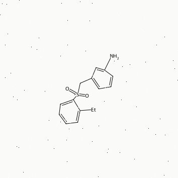 CCc1ccccc1S(=O)(=O)Cc1cccc(N)c1